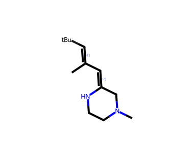 CC(/C=C1/CN(C)CCN1)=C\C(C)(C)C